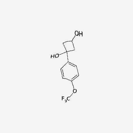 OC1CC(O)(c2ccc(OC(F)(F)F)cc2)C1